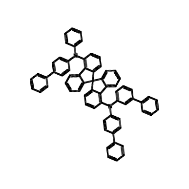 c1ccc(-c2ccc(N(c3ccccc3)c3cccc4c3-c3ccccc3C43c4ccccc4-c4c(N(c5ccc(-c6ccccc6)cc5)c5cccc(-c6ccccc6)c5)cccc43)cc2)cc1